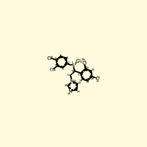 [O-][S+](c1ccc(Cl)c(Cl)c1)C(Cn1ccnc1)c1ccc(Cl)cc1Cl